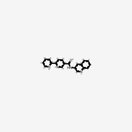 O=C(Nc1cnc2ccccc2c1)c1ccc(-c2ccccn2)nc1